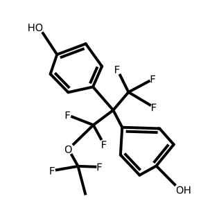 CC(F)(F)OC(F)(F)C(c1ccc(O)cc1)(c1ccc(O)cc1)C(F)(F)F